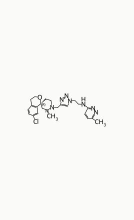 Cc1ccc(NCCn2cc(CN3CC[C@]4(C[C@@H]3C)OCCc3ccc(Cl)cc34)nn2)nn1